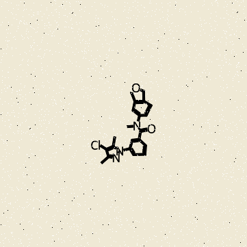 Cc1nn(-c2cccc(C(=O)N(C)c3ccc4c(c3)COC4)c2)c(C)c1Cl